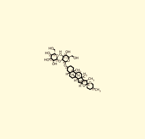 C[C@H]1CC[C@@]2(OC1)O[C@H]1C[C@H]3[C@@H]4CC[C@@H]5C[C@@H](O[C@@H]6O[C@H](CO)[C@@H](O)[C@H](O)[C@H]6O[C@@H]6O[C@@H](CO)[C@H](O)[C@H](O)[C@H]6O)CC[C@]5(C)[C@H]4CC[C@]3(C)[C@H]1[C@@H]2C